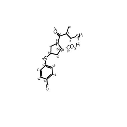 CC(CS)C(=O)N1CC(Sc2ccc(F)cc2)C[C@H]1C(=O)O